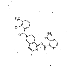 Cc1nc2c(c(ONc3ncccc3NN)n1)CCN(C(=O)c1cccc(C(F)(F)F)c1Cl)C2